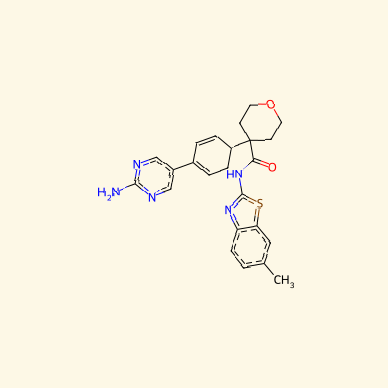 Cc1ccc2nc(NC(=O)C3(C4C=CC(c5cnc(N)nc5)=CC4)CCOCC3)sc2c1